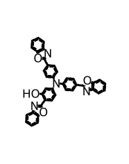 Oc1cc(N(c2ccc(-c3nc4ccccc4o3)cc2)c2ccc(-c3nc4ccccc4o3)cc2)ccc1-c1nc2ccccc2o1